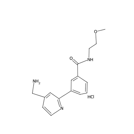 COCCNC(=O)c1cccc(-c2cc(CN)ccn2)c1.Cl